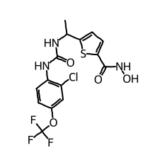 CC(NC(=O)Nc1ccc(OC(F)(F)F)cc1Cl)c1ccc(C(=O)NO)s1